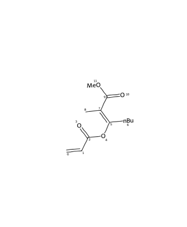 C=CC(=O)OC(CCCC)=C(C)C(=O)OC